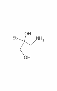 CCC(O)(CN)CO